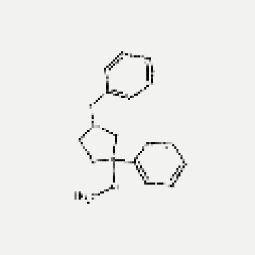 O=C(O)NC1(c2ccccc2)CCN(Cc2ccccc2)C1